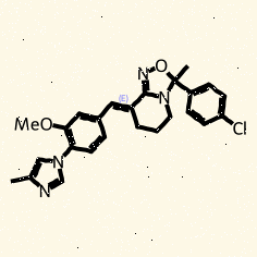 COc1cc(/C=C2\CCCN3C2=NOC3(C)c2ccc(Cl)cc2)ccc1-n1cnc(C)c1